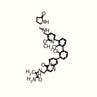 C=C(NCc1cnc2cc(-c3cccc(-c4cccc(-c5ccc(CNC[C@@H]6CCC(=O)N6)c(OC)n5)c4Cl)c3Cl)ccn2c1=O)C(N)=O